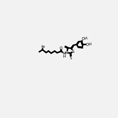 C=c1/c(=C/c2ccc(O)c(O)c2)sc(=S)n1NC(=O)CCCCCC(C)Br